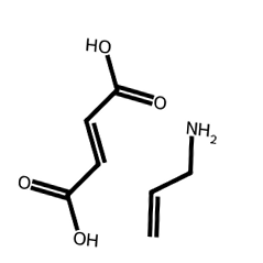 C=CCN.O=C(O)C=CC(=O)O